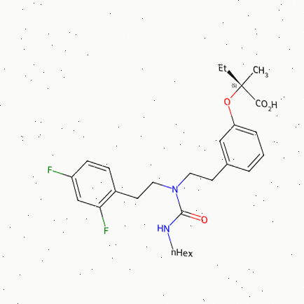 CCCCCCNC(=O)N(CCc1cccc(O[C@@](C)(CC)C(=O)O)c1)CCc1ccc(F)cc1F